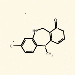 CN1C2=C(CNc3cc(Cl)ccc31)C(=O)CC=C2